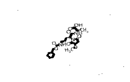 COC1CC(=O)N([C@@H](CCCNC(=O)OCc2ccccc2)C(=O)N[C@@H](C)C(=O)O)C1=O